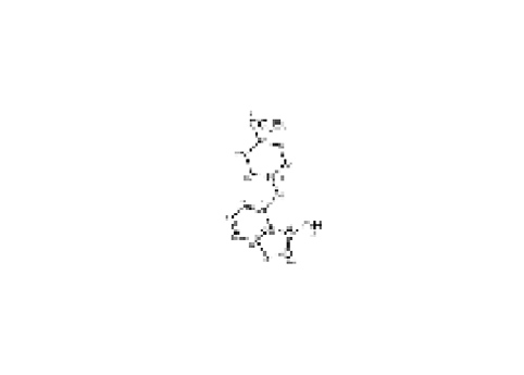 CCOC(=O)C1CCN(Cc2cccc3c2B(O)OC3)CC1